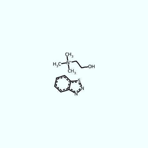 C[N+](C)(C)CCO.c1ccc2snnc2c1